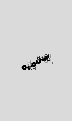 CC(C)(COc1ccc(-c2ccc(C3NC=C(c4ccccc4)N3)cc2)cn1)C(=O)O